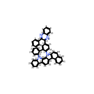 c1ccc(-c2nc3ccccc3nc2-c2ccc3c(c2)c2ccccc2n2c4ccccc4c4ccc5c6c7ccccc7ccc6n3c5c42)cc1